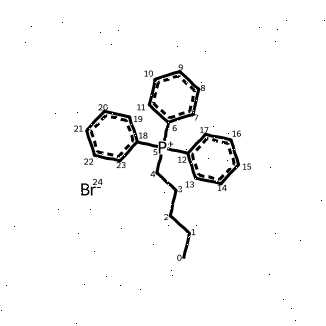 CCCCC[P+](c1ccccc1)(c1ccccc1)c1ccccc1.[Br-]